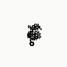 CC(C)(C)NC(=O)CSc1nnc([C@H](Cc2ccccc2)NC(O)OC(C)(C)C)o1